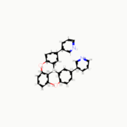 c1cncc(-c2ccc3c(c2)B2c4cc(-c5cccnc5)ccc4Oc4cccc(c42)O3)c1